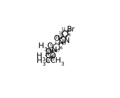 C[C@@H]1C[C@@H](n2cnc3cc(Br)ccc3c2=O)CCN1C(=O)OC(C)(C)C